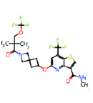 CNC(=O)c1csc2c(C(F)(F)F)cc(OC3CC4(C3)CN(C(=O)C(C)(C)COC(F)(F)F)C4)nc12